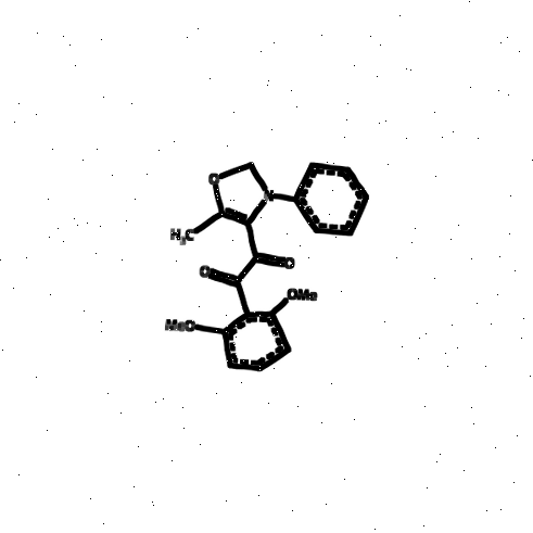 COc1cccc(OC)c1C(=O)C(=O)C1=C(C)OCN1c1ccccc1